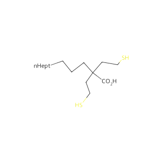 CCCCCCCCCCC(CCS)(CCS)C(=O)O